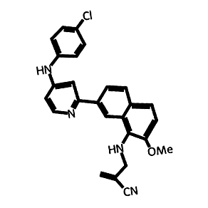 C=C(C#N)CNc1c(OC)ccc2ccc(-c3cc(Nc4ccc(Cl)cc4)ccn3)cc12